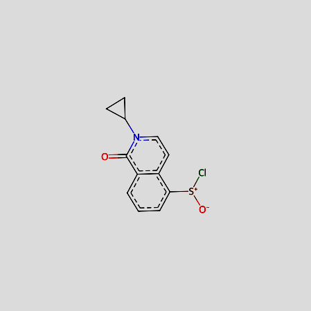 O=c1c2cccc([S+]([O-])Cl)c2ccn1C1CC1